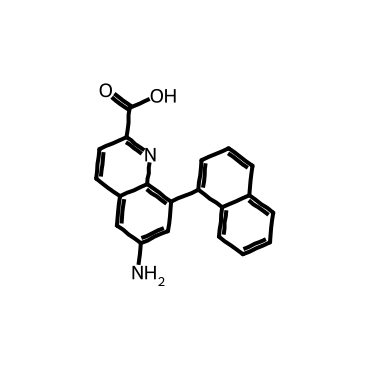 Nc1cc(-c2cccc3ccccc23)c2nc(C(=O)O)ccc2c1